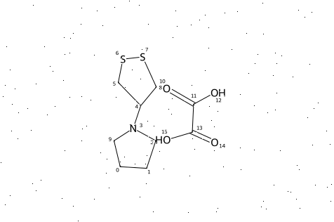 C1CCN(C2CSSC2)C1.O=C(O)C(=O)O